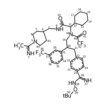 CC(=N)N1CCC(CNC(=O)C(C2CCCCC2)N(CC(Cc2ccc(C(=N)NOC(C)(C)C)cc2)c2cccc(C(F)(F)F)c2)C(=O)C(F)(F)F)CC1